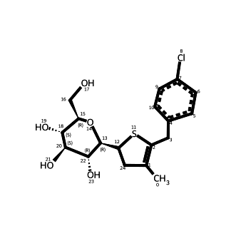 CC1=C(Cc2ccc(Cl)cc2)SC([C@@H]2O[C@H](CO)[C@@H](O)[C@H](O)[C@H]2O)C1